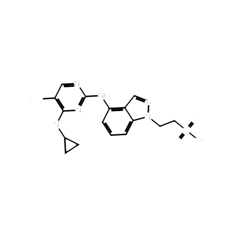 CCS(=O)(=O)CCn1ncc2c(Nc3ncc(C(F)(F)F)c(NC4CC4)n3)cccc21